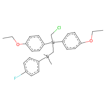 CCOc1ccc([Si](CCl)(C[Si](C)(C)c2ccc(F)cc2)c2ccc(OCC)cc2)cc1